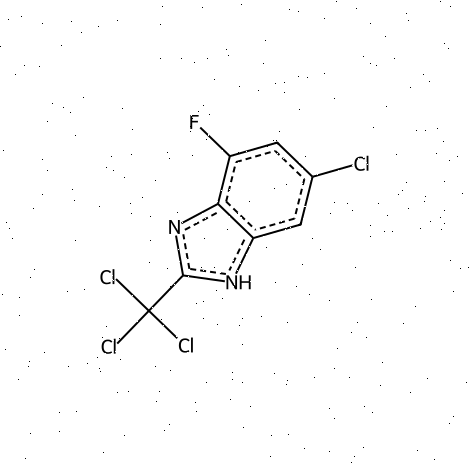 Fc1cc(Cl)cc2[nH]c(C(Cl)(Cl)Cl)nc12